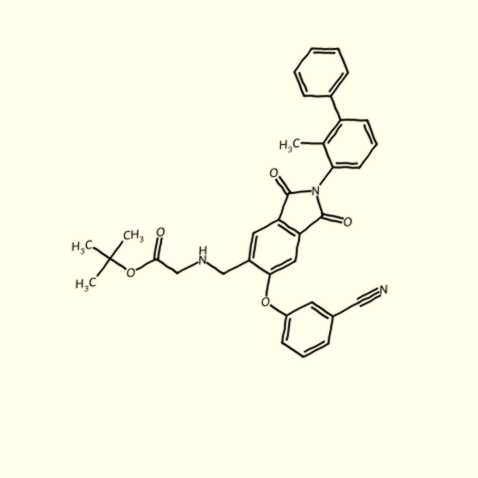 Cc1c(-c2ccccc2)cccc1N1C(=O)c2cc(CNCC(=O)OC(C)(C)C)c(Oc3cccc(C#N)c3)cc2C1=O